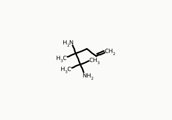 C=CCC(C)(N)C(C)(C)N